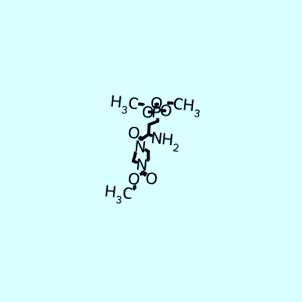 CCOC(=O)N1CCN(C(=O)C(N)CCP(=O)(OCC)OCC)CC1